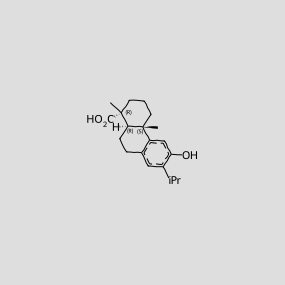 CC(C)c1cc2c(cc1O)[C@@]1(C)CCC[C@@](C)(C(=O)O)[C@@H]1CC2